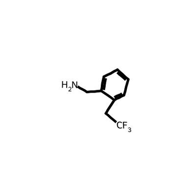 NCc1ccccc1CC(F)(F)F